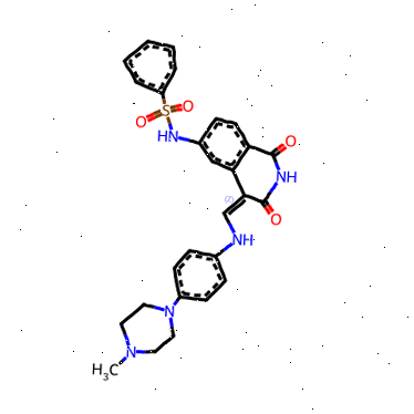 CN1CCN(c2ccc(N/C=C3\C(=O)NC(=O)c4ccc(NS(=O)(=O)c5ccccc5)cc43)cc2)CC1